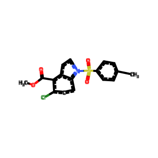 COC(=O)c1c(Cl)ccc2c1ccn2S(=O)(=O)c1ccc(C)cc1